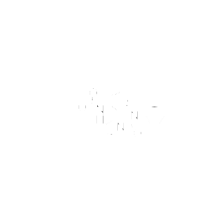 O=C(Nc1ccc2c(c1)N(C(=O)n1cccc1)c1ccccc1CC2)OC1CCCCC1